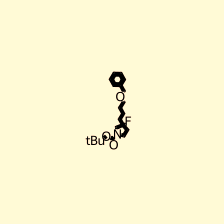 CC(C)(C)OC(=O)N1CC[C@@](F)(CCCCOCc2ccccc2)C1